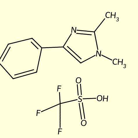 Cc1nc(-c2ccccc2)cn1C.O=S(=O)(O)C(F)(F)F